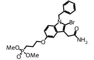 COP(=O)(CCCOc1ccc2c(c1)c(CC(N)=O)c(Br)n2Cc1ccccc1)OC